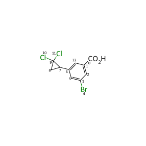 O=C(O)c1cc(Br)cc(C2CC2(Cl)Cl)c1